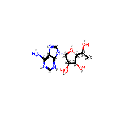 CC[C@H](O)[C@H]1O[C@@H](n2cnc3c(N)ncnc32)[C@H](O)[C@@H]1O